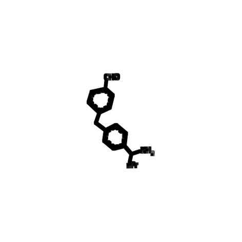 CCCC(N)c1ccc(Cc2ccc(C=O)cc2)cc1